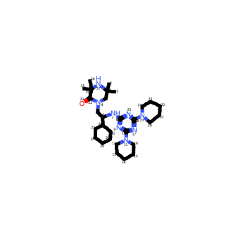 CC1(C)CN(CC(Nc2nc(N3CCCCC3)nc(N3CCCCC3)n2)C2CCCCC2)C(=O)C(C)(C)N1